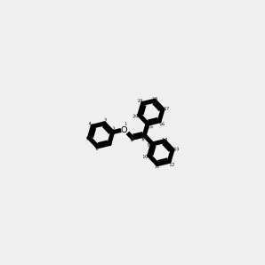 [C](Oc1ccccc1)=C(c1ccccc1)c1ccccc1